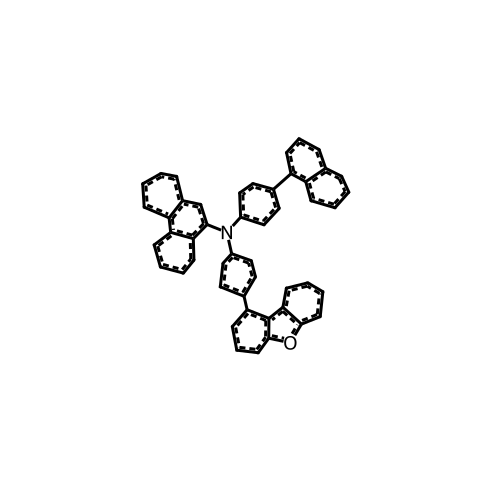 c1ccc2c(-c3ccc(N(c4ccc(-c5cccc6oc7ccccc7c56)cc4)c4cc5ccccc5c5ccccc45)cc3)cccc2c1